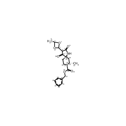 CC1OC(C2C(=O)N[C@@]3(CCN(C(=O)OCc4ccccc4)[C@@H](C)C3)C2=O)O1